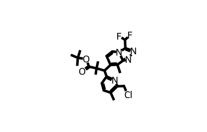 Cc1ccc(C(c2ccn3c(C(F)F)nnc3c2C)C(C)(C)C(=O)OC(C)(C)C)nc1CCl